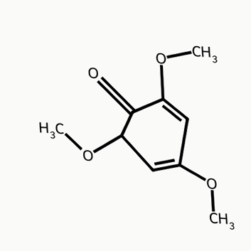 COC1=CC(OC)C(=O)C(OC)=C1